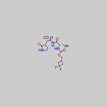 CC(C)C[C@H](NC(=O)OCC1CC(F)(F)C1)C(=O)N[C@@H](CC1CCNC1=O)C(=O)O